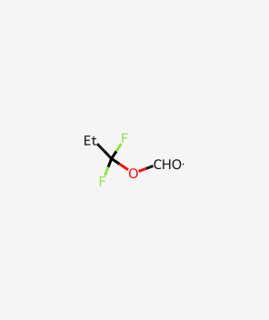 CCC(F)(F)O[C]=O